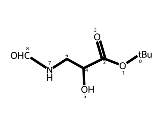 CC(C)(C)OC(=O)C(O)CNC=O